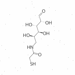 O=C[C@H](O)[C@@H](O)[C@@H](O)[C@H](O)CNC(=O)CS